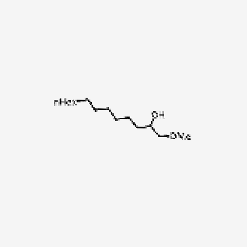 CCCCCCCCCCCCC(O)COC